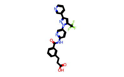 O=C(O)CCc1cccc(C(=O)Nc2ccc(-n3nc(-c4cccnc4)cc3C(F)(F)F)cn2)c1